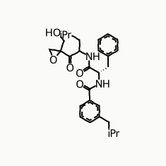 CC(C)Cc1cccc(C(=O)N[C@@H](Cc2ccccc2)C(=O)NC(CC(C)C)C(=O)C2(CO)CO2)c1